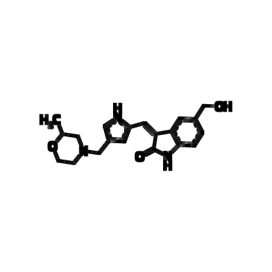 CC1CN(Cc2c[nH]c(C=C3C(=O)Nc4ccc(CO)cc43)c2)CCO1